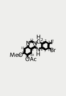 [CH2]c1cc(F)c(Br)cc1Nc1ncnc2cc(OC)c(OC(C)=O)cc12